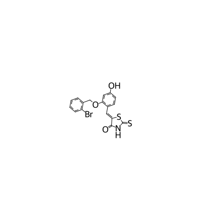 O=C1NC(=S)S/C1=C\c1ccc(O)cc1OCc1ccccc1Br